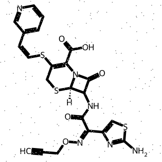 C#CCO/N=C(\C(=O)NC1C(=O)N2C(C(=O)O)=C(S/C=C\c3cccnc3)CS[C@H]12)c1csc(N)n1